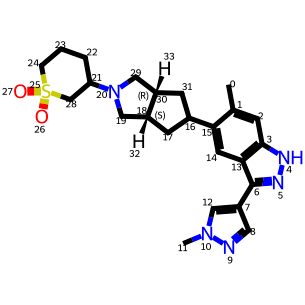 Cc1cc2[nH]nc(-c3cnn(C)c3)c2cc1C1C[C@@H]2CN(C3CCCS(=O)(=O)C3)C[C@@H]2C1